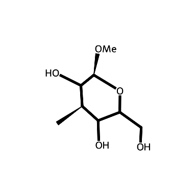 CO[C@H]1OC(CO)C(O)[C@@H](C)C1O